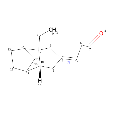 CCC12C/C(=C\CC=O)C[C@@H]1C1CCC2C1